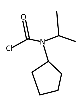 CC(C)N(C(=O)Cl)C1CCCC1